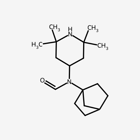 CC1(C)CC(N(C=O)C23CCC(CC2)C3)CC(C)(C)N1